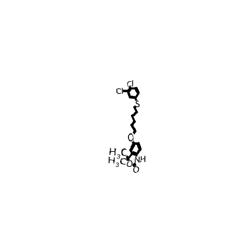 CC1(C)OC(=O)Nc2ccc(OCCCCCCSc3ccc(Cl)c(Cl)c3)cc21